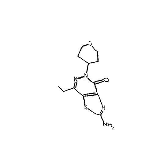 CCc1nn(C2CCOCC2)c(=O)c2nc(N)sc12